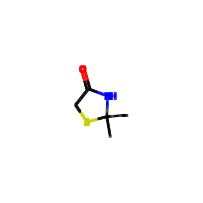 CC1(C)NC(=O)CS1